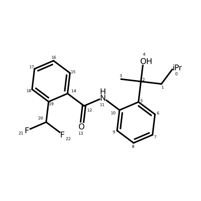 CC(C)CC(C)(O)c1ccccc1NC(=O)c1ccccc1C(F)F